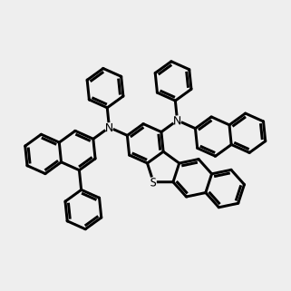 c1ccc(-c2cc(N(c3ccccc3)c3cc(N(c4ccccc4)c4ccc5ccccc5c4)c4c(c3)sc3cc5ccccc5cc34)cc3ccccc23)cc1